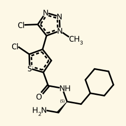 Cn1nnc(Cl)c1-c1cc(C(=O)N[C@H](CN)CC2CCCCC2)sc1Cl